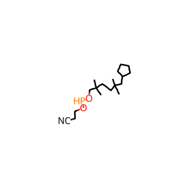 CC(C)(CCC(C)(C)CC1CCCC1)COPOCCC#N